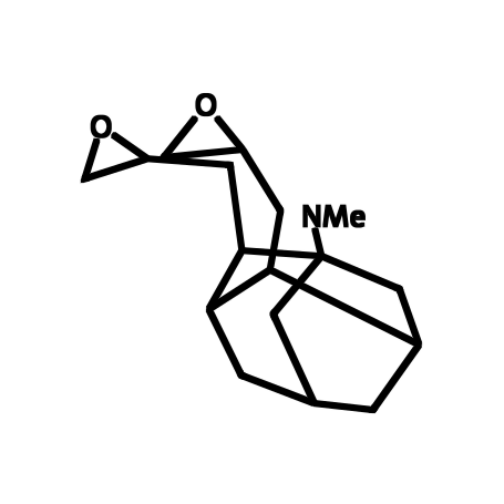 CNC12CC3CC(C1)C(CC1CO1)C(C3)C2CC1CO1